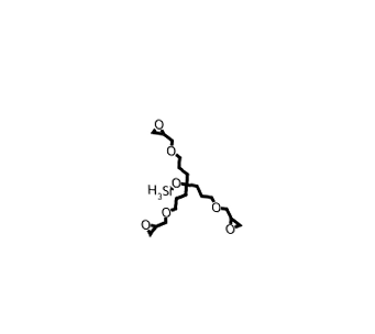 [SiH3]OC(CCCOCC1CO1)(CCCOCC1CO1)CCCOCC1CO1